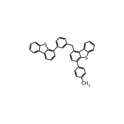 Cc1ccc(-c2ccc(Cc3cccc(-c4cccc5c4sc4ccccc45)c3)c3c2sc2ccccc23)cc1